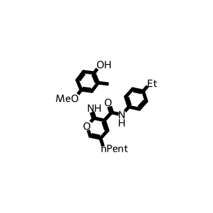 CCCCCc1coc(=N)c(C(=O)Nc2ccc(CC)cc2)c1.COc1ccc(O)c(C)c1